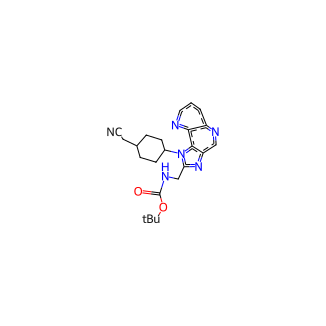 CC(C)(C)OC(=O)NCc1nc2cnc3cccnc3c2n1C1CCC(CC#N)CC1